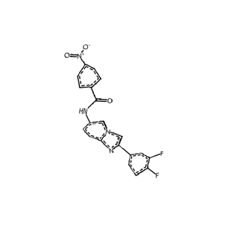 O=C(Nc1ccc2nc(-c3ccc(F)c(F)c3)cn2c1)c1ccc([N+](=O)[O-])cc1